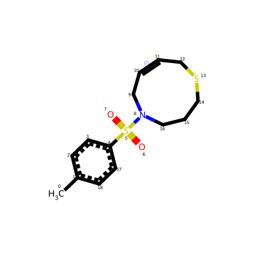 Cc1ccc(S(=O)(=O)N2C/C=C\CSCCC2)cc1